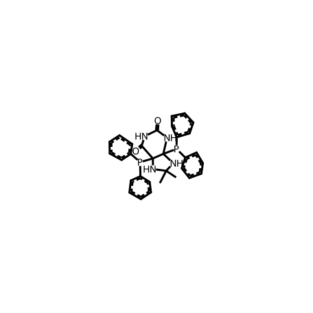 CC1(C)NC2(P(c3ccccc3)c3ccccc3)NC(=O)NC(=O)C2(P(c2ccccc2)c2ccccc2)N1